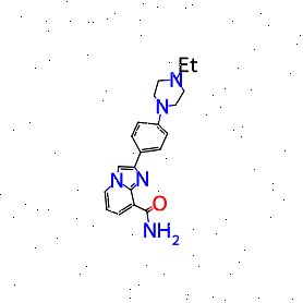 CCN1CCN(c2ccc(-c3cn4cccc(C(N)=O)c4n3)cc2)CC1